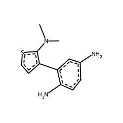 CN(C)c1sccc1-c1cc(N)ccc1N